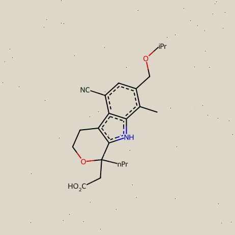 CCCC1(CC(=O)O)OCCc2c1[nH]c1c(C)c(COC(C)C)cc(C#N)c21